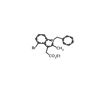 CCOC(=O)Cc1c(C)n(Cc2ccccc2)c2cccc(Br)c12